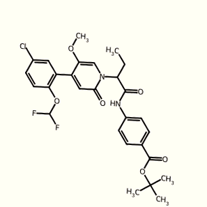 CCC(C(=O)Nc1ccc(C(=O)OC(C)(C)C)cc1)n1cc(OC)c(-c2cc(Cl)ccc2OC(F)F)cc1=O